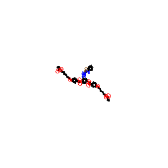 C=CC(=O)OCCCCCCOc1ccc(C(=O)Oc2ccc(OC(=O)C3=CCC(OCCCCCCOC(=O)C=C)C=C3)cc2/C=N/N(C)c2nc3ccccc3s2)cc1